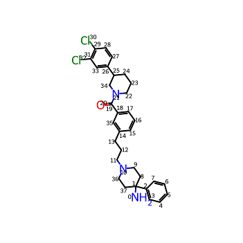 NC1(c2ccccc2)CCN(CCCc2cccc(C(=O)N3CCCC(c4ccc(Cl)c(Cl)c4)C3)c2)CC1